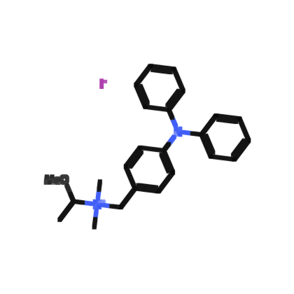 COC(C)[N+](C)(C)Cc1ccc(N(c2ccccc2)c2ccccc2)cc1.[I-]